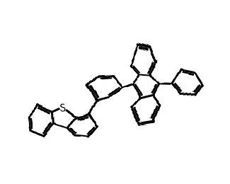 c1ccc(-c2c3ccccc3c(-c3cccc(-c4cccc5c4sc4ccccc45)c3)c3ccccc23)cc1